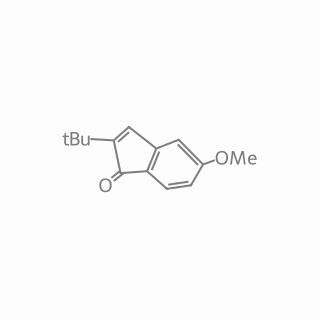 COc1ccc2c(c1)C=C(C(C)(C)C)C2=O